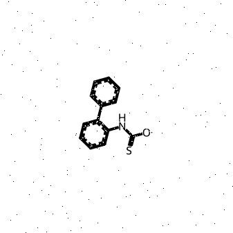 [O]C(=S)Nc1ccccc1-c1ccccc1